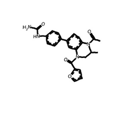 CC(=O)N1c2ccc(-c3ccc(NC(N)=O)cc3)cc2N(C(=O)c2ccco2)CC1C